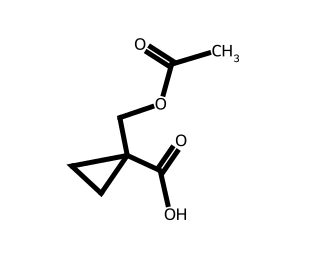 CC(=O)OCC1(C(=O)O)CC1